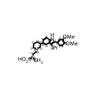 COc1ccc(-c2[nH]c3ccc(C4CCCN(CCN(C)C(=O)O)C4)cc3c2C(C)C)cc1OC